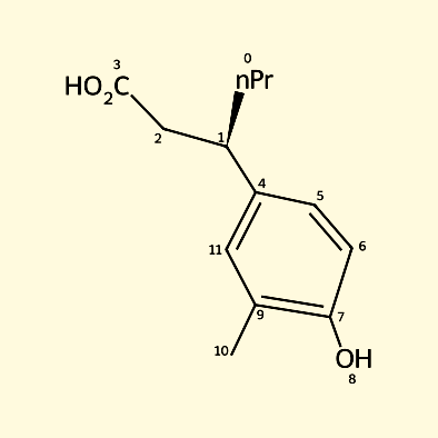 CCC[C@H](CC(=O)O)c1ccc(O)c(C)c1